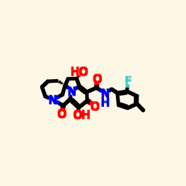 Cc1ccc(CNC(=O)c2c3n4c(c(O)c2=O)C(=O)N2CCCC[C@@]4(C[C@@H]3O)C2)c(F)c1